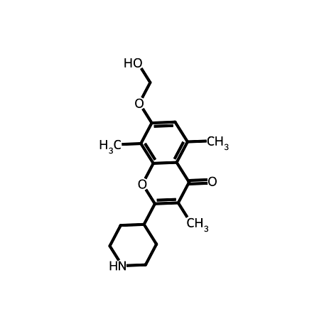 Cc1c(C2CCNCC2)oc2c(C)c(OCO)cc(C)c2c1=O